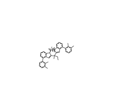 CCC1(C)C2=Cc3c(-c4cccc(C)c4C)cccc3[CH]2[Hf]([CH3])([CH3])[CH]2C1=Cc1c(-c3cccc(C)c3C)cccc12